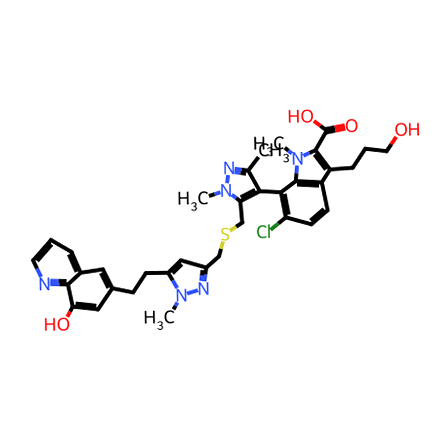 Cc1nn(C)c(CSCc2cc(CCc3cc(O)c4ncccc4c3)n(C)n2)c1-c1c(Cl)ccc2c(CCCO)c(C(=O)O)n(C)c12